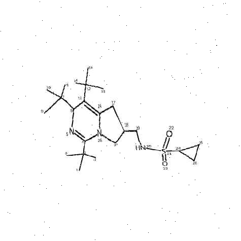 CC(C)(C)C1=NC(C(C)(C)C)C(C(C)(C)C)=C2CC(CNS(=O)(=O)C3CC3)CN12